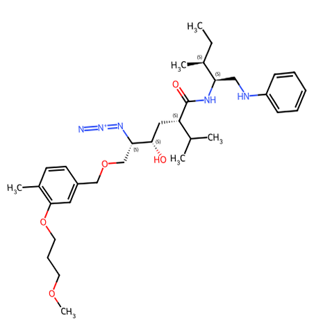 CC[C@H](C)[C@@H](CNc1ccccc1)NC(=O)[C@@H](C[C@H](O)[C@H](COCc1ccc(C)c(OCCCOC)c1)N=[N+]=[N-])C(C)C